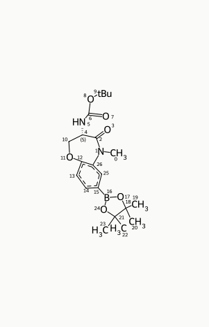 CN1C(=O)[C@@H](NC(=O)OC(C)(C)C)COc2ccc(B3OC(C)(C)C(C)(C)O3)cc21